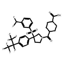 O=C(O)C1CCC(C(=O)N2CCC(c3ccc(C(F)(C(F)(F)F)C(F)(F)F)cc3)(S(=O)(=O)c3cccc(C(F)F)c3)C2)CC1